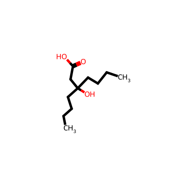 CCCCC(O)(CCCC)CC(=O)O